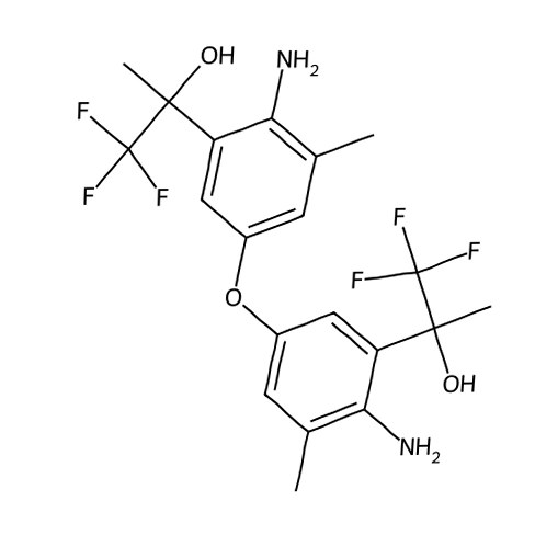 Cc1cc(Oc2cc(C)c(N)c(C(C)(O)C(F)(F)F)c2)cc(C(C)(O)C(F)(F)F)c1N